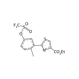 CCOC(=O)c1csc(-c2cc(OS(=O)(=O)C(F)(F)F)ccc2C)n1